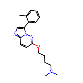 Cc1ccccc1-c1cnc2ccc(OCCCCN(C)C)nn12